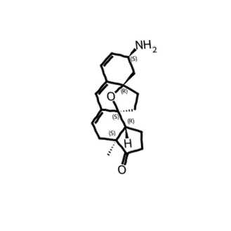 C[C@]12CC=C3C=C4C=C[C@@H](N)C[C@]45CC[C@]3(O5)[C@@H]1CCC2=O